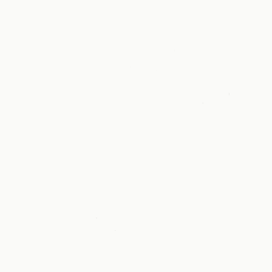 Cc1cc(-c2cc(C)c(OC(C)C3CO3)c(C)c2)cc(C)c1OC(C)C1CO1